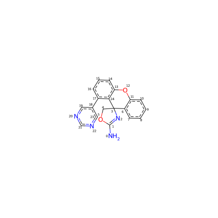 NC1=NC2(CO1)c1ccccc1Oc1cccc(-c3cncnc3)c12